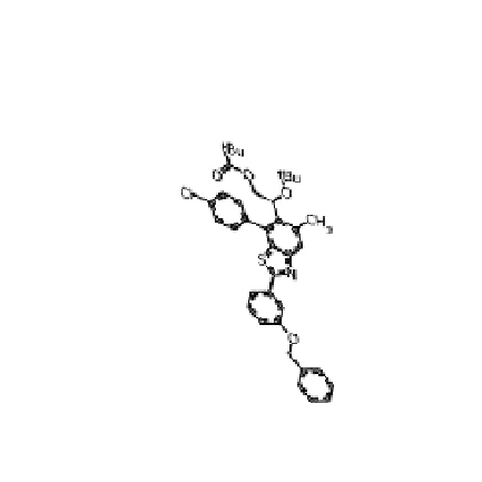 Cc1cc2nc(-c3cccc(OCc4ccccc4)c3)sc2c(-c2ccc(Cl)cc2)c1[C@@H](COC(=O)C(C)(C)C)OC(C)(C)C